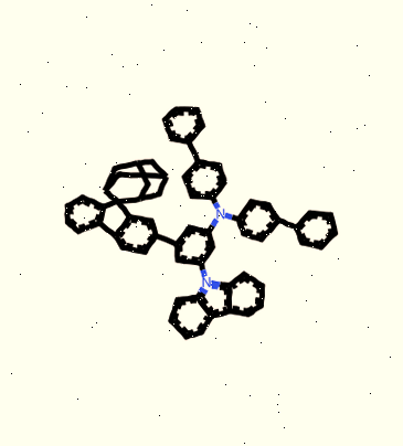 c1ccc(-c2ccc(N(c3ccc(-c4ccccc4)cc3)c3cc(-c4ccc5c(c4)C4(c6ccccc6-5)C5CC6CC(C5)CC4C6)cc(-n4c5ccccc5c5ccccc54)c3)cc2)cc1